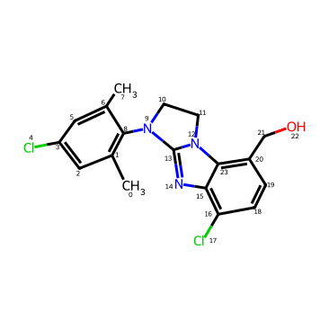 Cc1cc(Cl)cc(C)c1N1CCn2c1nc1c(Cl)ccc(CO)c12